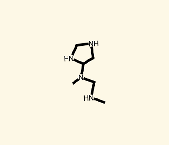 CNCN(C)C1CNCN1